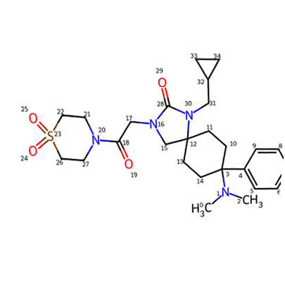 CN(C)C1(c2ccccc2)CCC2(CC1)CN(CC(=O)N1CCS(=O)(=O)CC1)C(=O)N2CC1CC1